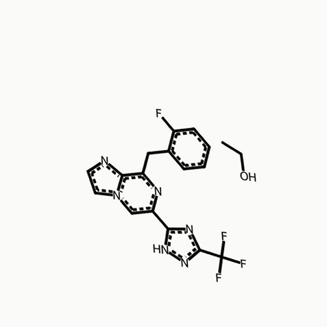 CCO.Fc1ccccc1Cc1nc(-c2nc(C(F)(F)F)n[nH]2)cn2ccnc12